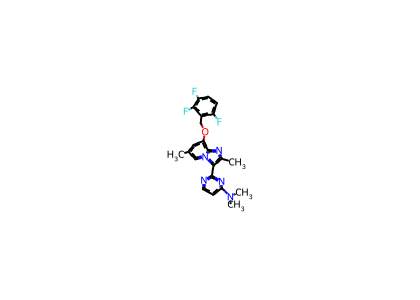 Cc1cc(OCc2c(F)ccc(F)c2F)c2nc(C)c(-c3nccc(N(C)C)n3)n2c1